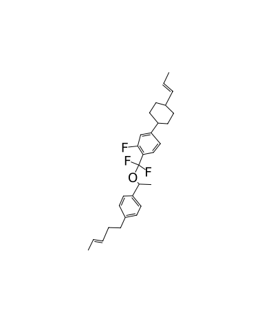 C/C=C/CCc1ccc(C(C)OC(F)(F)c2ccc(C3CCC(/C=C/C)CC3)cc2F)cc1